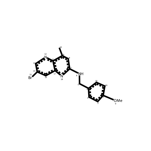 COc1ccc(CNc2cc(C)c3ncc(Br)cc3n2)cc1